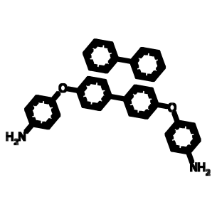 Nc1ccc(Oc2ccc(-c3ccc(Oc4ccc(N)cc4)cc3)cc2)cc1.c1ccc(-c2ccccc2)cc1